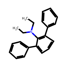 CCN(CC)c1c(-c2ccccc2)cccc1-c1ccccc1